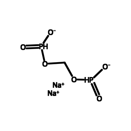 O=[PH]([O-])OCO[PH](=O)[O-].[Na+].[Na+]